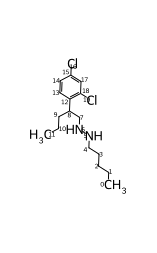 CCCCCNNCC(CCC)c1ccc(Cl)cc1Cl